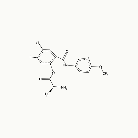 C[C@H](N)C(=O)Oc1cc(F)c(Cl)cc1C(=O)Nc1ccc(OC(F)(F)F)cc1